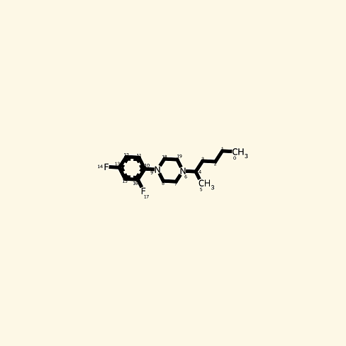 CCCCC(C)N1CCN(c2ccc(F)cc2F)CC1